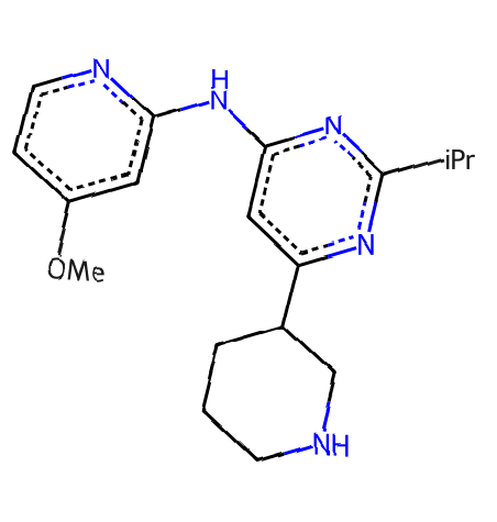 COc1ccnc(Nc2cc(C3CCCNC3)nc(C(C)C)n2)c1